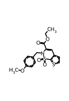 CCOC(=O)C1=Cc2ccsc2S(=O)(=O)N1Cc1ccc(OC)cc1